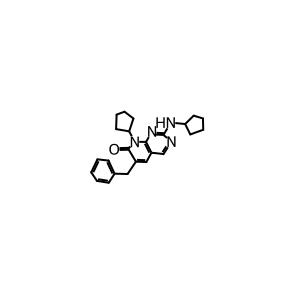 O=c1c(Cc2ccccc2)cc2cnc(NC3CCCC3)nc2n1C1CCCC1